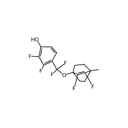 CC12CCC(OC(F)(F)c3ccc(O)c(F)c3F)(CC1)C(F)=C2F